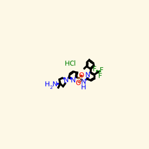 Cc1ccccc1-c1nc(NS(=O)(=O)c2cccc(N3CCC(C)(N)CC3)n2)ccc1C(F)(F)F.Cl